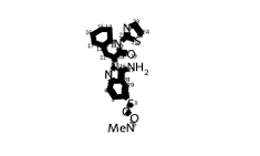 CNOOSc1ccc2nn(C(CC3CCCCC3)C(=O)Nc3nccs3)c(N)c2c1